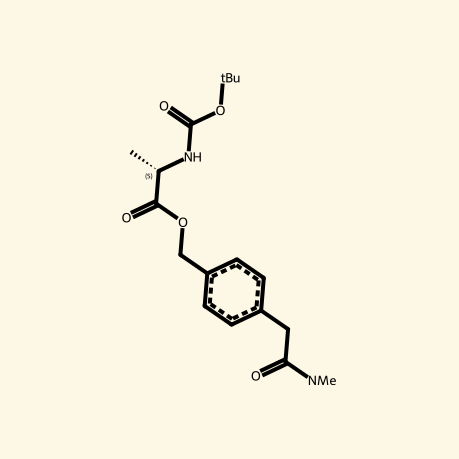 CNC(=O)Cc1ccc(COC(=O)[C@H](C)NC(=O)OC(C)(C)C)cc1